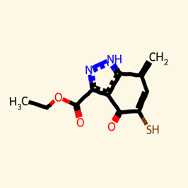 C=C1C=C(S)C(=O)c2c(C(=O)OCC)n[nH]c21